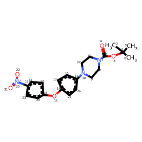 CC(C)(C)OC(=O)N1CCN(c2ccc(Oc3ccc([N+](=O)[O-])cc3)cc2)CC1